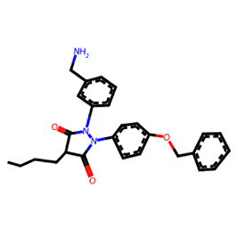 CCCCC1C(=O)N(c2ccc(OCc3ccccc3)cc2)N(c2cccc(CN)c2)C1=O